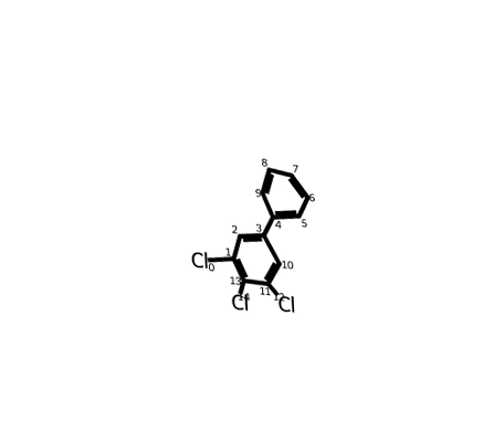 Clc1cc(-c2ccccc2)cc(Cl)c1Cl